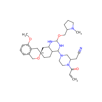 C=CC(=O)N1CCN(C2NC(OCC3CCCN3C)NC3C[C@]4(CCC32)Cc2c(cccc2OC)CO4)CC1CC#N